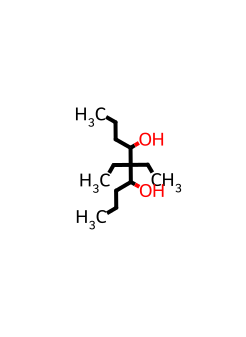 CCCC(O)C(CC)(CC)C(O)CCC